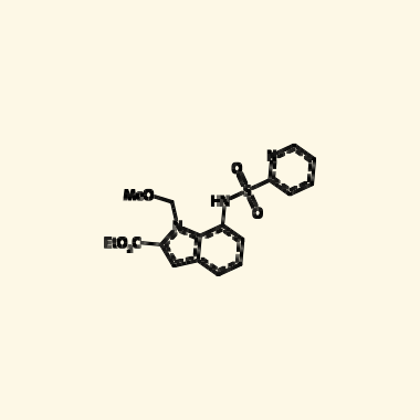 CCOC(=O)c1cc2cccc(NS(=O)(=O)c3ccccn3)c2n1COC